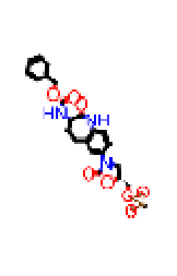 CS(=O)(=O)OC[C@H]1CN(c2ccc3c(c2)CCC(NC(=O)OCc2ccccc2)C(=O)N3)C(=O)O1